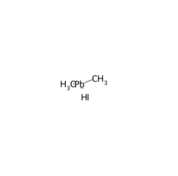 I.[CH3][Pb][CH3]